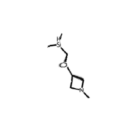 CN1CC(OC[SiH](C)C)C1